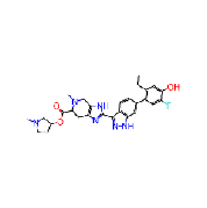 CCc1cc(O)c(F)cc1-c1ccc2c(-c3nc4c([nH]3)CN(C)C(C(=O)OC3CCN(C)C3)C4)n[nH]c2c1